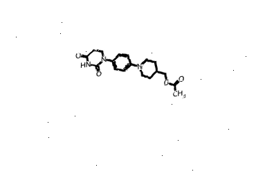 CC(=O)OCC1CCN(c2ccc(N3CCC(=O)NC3=O)cc2)CC1